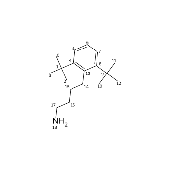 CC(C)(C)c1cccc(C(C)(C)C)c1CCCCN